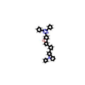 C1=CCC2C(=C1)c1cc(-c3cccc(-c4ccc5oc6cc(-c7nc(-c8ccccc8)nc(-c8ccccc8)n7)ccc6c5c4)c3)ccc1N2c1ccccc1